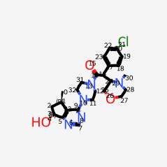 C[C@@H]1C[C@@H](O)c2ncnc(N3CCN(C(=O)C(c4ccc(Cl)cc4)C4COCCN4C)CC3)c21